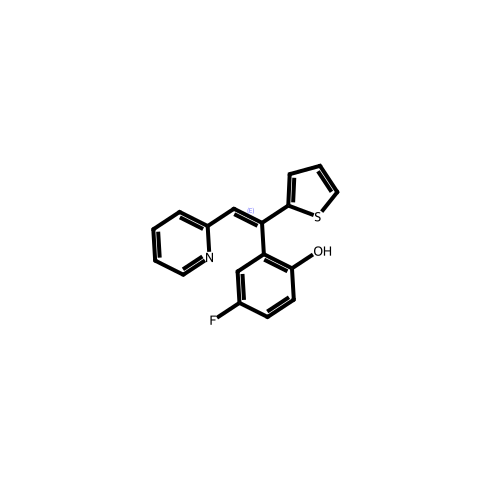 Oc1ccc(F)cc1/C(=C\c1ccccn1)c1cccs1